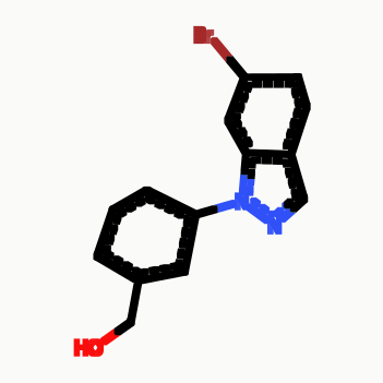 OCc1cccc(-n2ncc3ccc(Br)cc32)c1